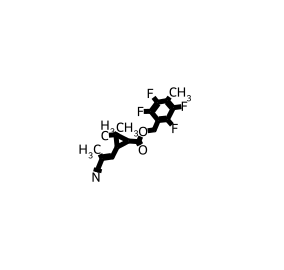 C/C(C#N)=C\C1C(C(=O)OCc2c(F)c(F)c(C)c(F)c2F)C1(C)C